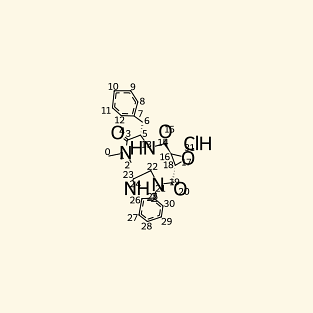 CN(C)C(=O)[C@H](Cc1ccccc1)NC(=O)[C@H]1O[C@@H]1C(=O)N(CCN)c1ccccc1.Cl